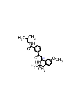 COc1ccc2c(c1)/C(=C/C(=O)c1cccc(C(=O)NCC(C)C)c1)NC(C)(C)C2